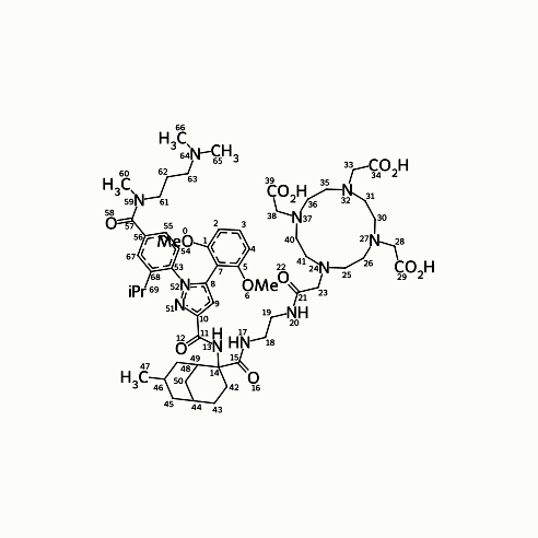 COc1cccc(OC)c1-c1cc(C(=O)NC2(C(=O)NCCNC(=O)CN3CCN(CC(=O)O)CCN(CC(=O)O)CCN(CC(=O)O)CC3)CCC3CC(C)CC2C3)nn1-c1ccc(C(=O)N(C)CCCN(C)C)cc1C(C)C